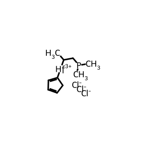 C[CH](CP(C)C)[Hf+3][C]1=CC=CC1.[Cl-].[Cl-].[Cl-]